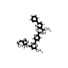 C/N=C\c1cc(Nc2cc(C)nc(-c3ccc(C(=O)NC(C)c4ccc(-c5ccccc5)nc4)nc3)n2)no1